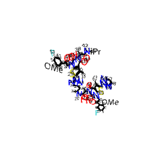 COc1ccc(F)cc1[C@@H](O)Cn1c(=O)n([C@H](C)C(=O)N(C)C(C)Cc2cnn(-c3sc4c(c3C)c(=O)n([C@@H](C)C(=O)N(C)C(C)C)c(=O)n4C[C@H](O)c3cc(F)ccc3OC)n2)c(=O)c2c(C)c(-n3nccn3)sc21